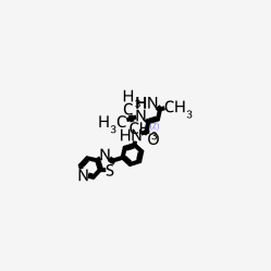 CC(=N)/C=C(\NC(C)(C)C)C(=O)Nc1cccc(-c2nc3ccncc3s2)c1